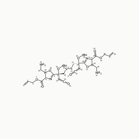 C=CCOC(=O)C1N=C([C@@](CSSC[C@](N=C=O)(OC(C)(C)C)C2=NC(C(=O)OCC=C)N(CN)O2)(N=C=O)OC(C)(C)C)ON1CN